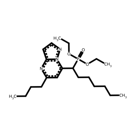 CCCCCCC(c1cc(CCCC)nc2ccnn12)P(=O)(OCC)OCC